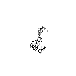 CC1(C)OC[C@H](COc2cc(NC(=O)N3c4nc(-c5cccc(C(F)(F)F)c5)ncc4N4CCC3C4)cnn2)O1